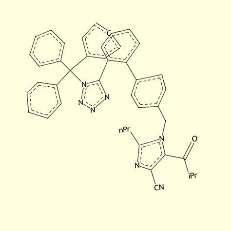 CCCc1nc(C#N)c(C(=O)C(C)C)n1Cc1ccc(-c2ccccc2-c2nnnn2C(c2ccccc2)(c2ccccc2)c2ccccc2)cc1